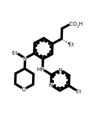 CCc1cnc(Nc2cc([C@@H](CC)CC(=O)O)ccc2N(CC)C2CCOCC2)nc1